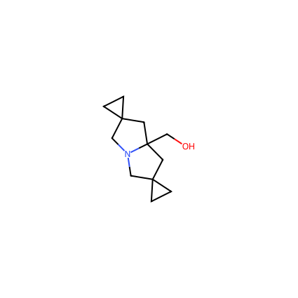 OCC12CC3(CC3)CN1CC1(CC1)C2